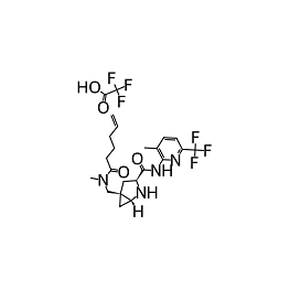 C=CCCCC(=O)N(C)C[C@@]12C[C@@H](C(=O)Nc3nc(C(F)(F)F)ccc3C)N[C@@H]1C2.O=C(O)C(F)(F)F